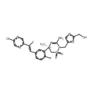 C[C@@]1(c2cc(/C=C(\F)c3cnc(Cl)cn3)ccc2F)CS(=O)(=O)N(Cc2cnc(CO)o2)C(N)=N1